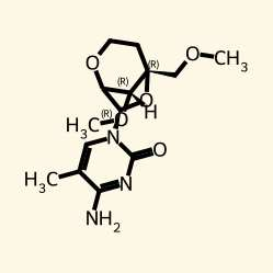 COC[C@@]12CCOC([C@H](n3cc(C)c(N)nc3=O)O1)[C@H]2OC